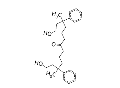 CC(CCO)(CCCC(=O)CCCC(C)(CCO)c1ccccc1)c1ccccc1